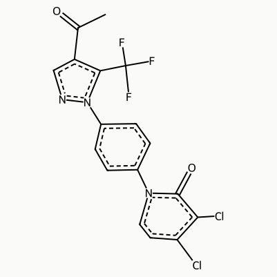 CC(=O)c1cnn(-c2ccc(-n3ccc(Cl)c(Cl)c3=O)cc2)c1C(F)(F)F